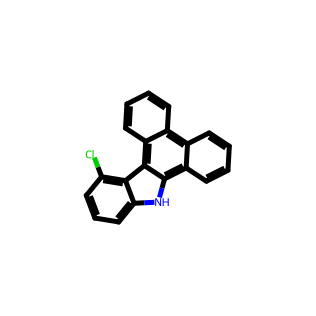 Clc1cccc2[nH]c3c4ccccc4c4ccccc4c3c12